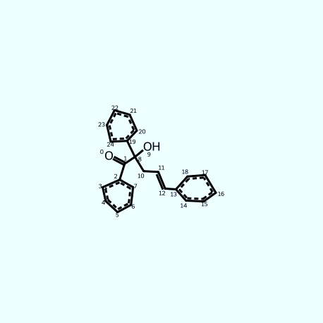 O=C(c1ccccc1)C(O)(CC=Cc1ccccc1)c1ccccc1